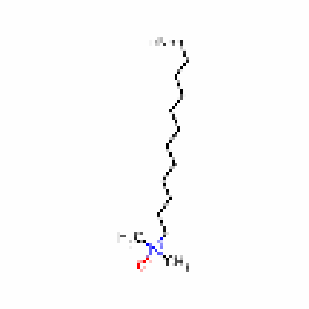 CCCCCCCCCCCCCCCCCCCC[N+](C)(C)[O-]